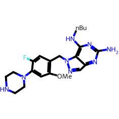 CCCCNc1nc(N)nc2cnn(Cc3cc(F)c(N4CCNCC4)cc3OC)c12